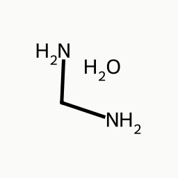 NCN.O